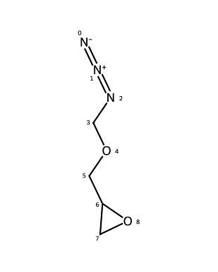 [N-]=[N+]=NCOCC1CO1